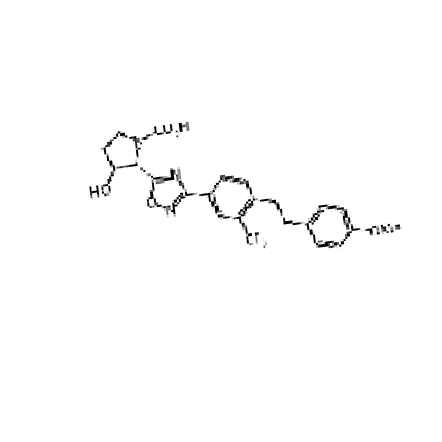 COc1ccc(CCc2ccc(-c3noc([C@@H]4[C@@H](O)CCN4C(=O)O)n3)cc2C(F)(F)F)cc1